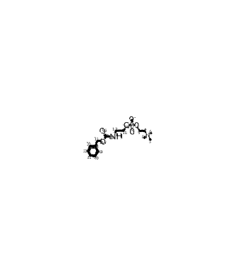 C[N+](C)(C)CCOP(=O)([O-])OCCNC(=O)OCc1ccccc1